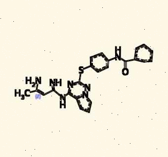 C/C(N)=C/C(=N)Nc1nc(Sc2ccc(NC(=O)c3ccccc3)cc2)nn2cccc12